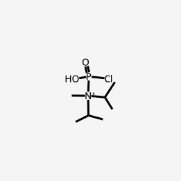 CC(C)[N+](C)(C(C)C)P(=O)(O)Cl